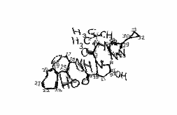 CC(C)(C)[C@@H](C(=O)N1C[C@H](O)C[C@H]1C(=O)NC1COc2ccccc2C1O)n1cc(C2CC2)nn1